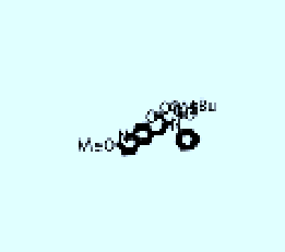 COC(=O)/C(=C\c1ccc2nc(OC)ccc2c1)N(C(=O)OC(C)(C)C)c1ccccc1